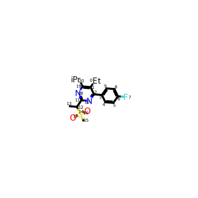 CCc1c(-c2ccc(F)cc2)nc(C(C)S(C)(=O)=O)nc1C(C)C